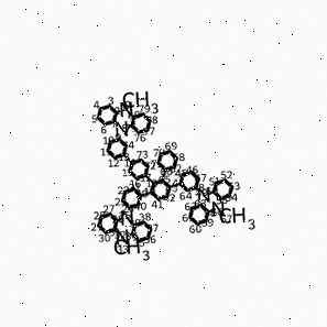 CN1c2ccccc2N(c2cccc(-c3ccc(-c4c(-c5cccc(N6c7ccccc7N(C)c7ccccc76)c5)ccc(-c5cccc(N6c7ccccc7N(C)c7ccccc76)c5)c4-c4ccccc4)cc3)c2)c2ccccc21